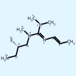 C/C=C/N=C(\N(C)C)N(C)C[C@@H](F)CN